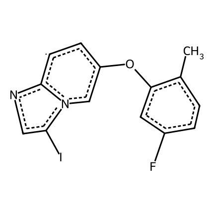 Cc1ccc(F)cc1Oc1c[c]c2ncc(I)n2c1